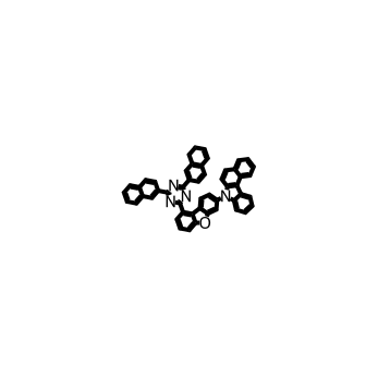 C1=Cc2ccc(-c3nc(-c4ccc5ccccc5c4)nc(-c4cccc5oc6cc(-n7c8ccccc8c8c9ccccc9ccc87)ccc6c45)n3)cc2CC1